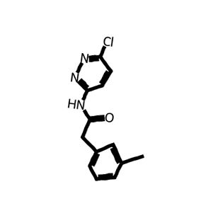 Cc1cccc(CC(=O)Nc2ccc(Cl)nn2)c1